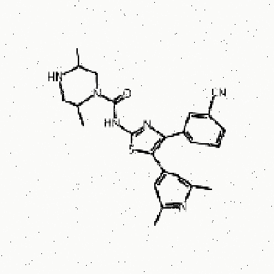 Cc1cc(-c2sc(NC(=O)N3CC(C)NCC3C)nc2-c2cccc(C#N)c2)cc(C)n1